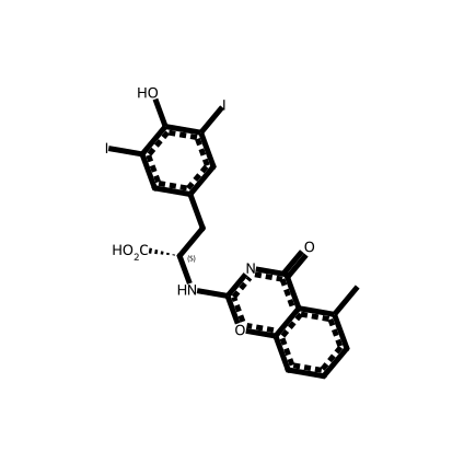 Cc1cccc2oc(N[C@@H](Cc3cc(I)c(O)c(I)c3)C(=O)O)nc(=O)c12